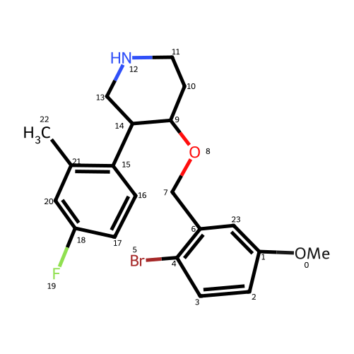 COc1ccc(Br)c(COC2CCNCC2c2ccc(F)cc2C)c1